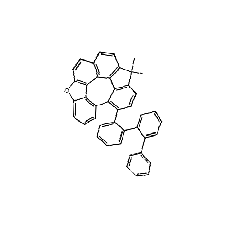 CC1(C)c2ccc(-c3ccccc3-c3ccccc3-c3ccccc3)c3c2-c2c1ccc1ccc4oc5cccc-3c5c4c21